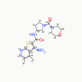 Cc1nnc2sc(C(=O)NC3CCN(C(=O)N4CCOCC4)C3)c(N)c2c1C